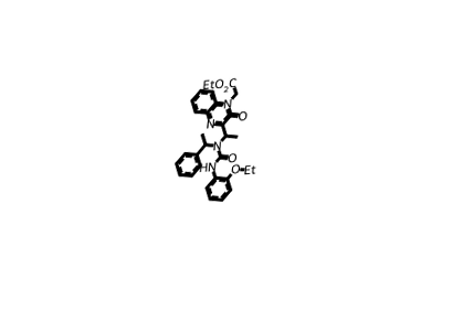 CCOC(=O)Cn1c(=O)c(C(C)N(C(=O)Nc2ccccc2OCC)C(C)c2ccccc2)nc2ccccc21